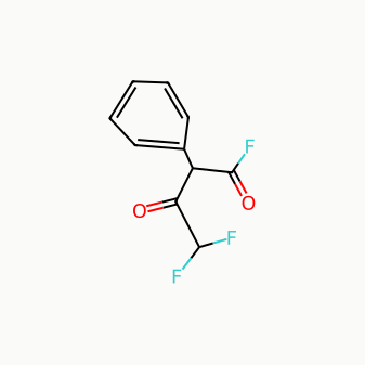 O=C(F)C(C(=O)C(F)F)c1ccccc1